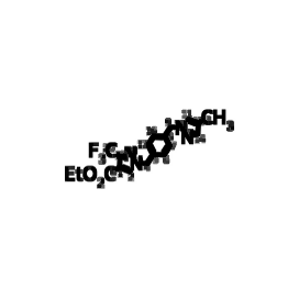 CCOC(=O)c1cn(Cc2ccc(Cn3cc(C)cn3)cc2)nc1C(F)(F)F